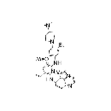 C=Cc1cnc(Nc2cc(CC)c(N3CCC(N(C)C)CC3)cc2OC)nc1Nc1ccc2nccnc2c1SC